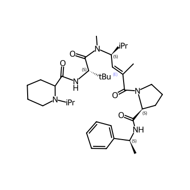 C/C(=C\[C@H](C(C)C)N(C)C(=O)[C@@H](NC(=O)C1CCCCN1C(C)C)C(C)(C)C)C(=O)N1CCC[C@H]1C(=O)N[C@@H](C)c1ccccc1